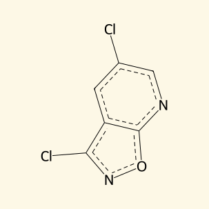 Clc1cnc2onc(Cl)c2c1